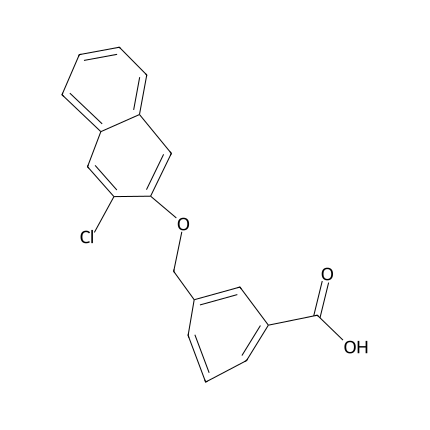 O=C(O)c1cccc(COc2cc3ccccc3cc2Cl)c1